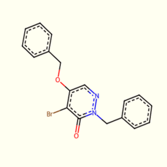 O=c1c(Br)c(OCc2ccccc2)cnn1Cc1ccccc1